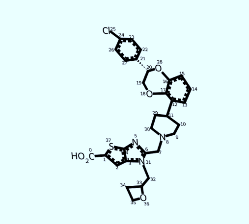 O=C(O)c1cc2c(nc(CN3CCC(c4cccc5c4OC[C@H](c4ccc(Cl)cc4)O5)CC3)n2CC2CCO2)s1